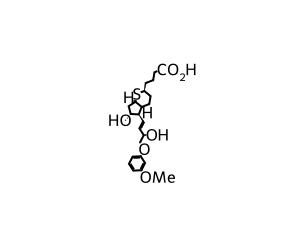 COc1cccc(OC[C@H](O)C=C[C@@H]2[C@H]3CC[C@H](CCCC(=O)O)S[C@H]3C[C@H]2O)c1